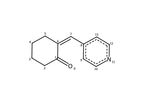 O=C1CCCCC1=Cc1ccncc1